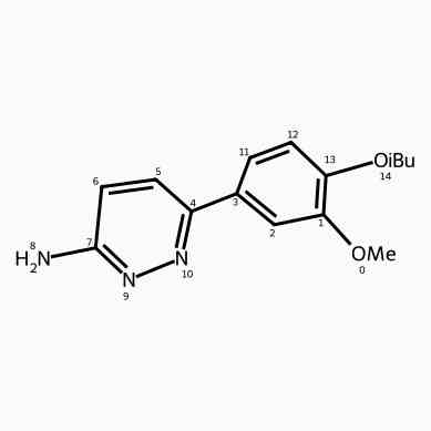 COc1cc(-c2ccc(N)nn2)ccc1OCC(C)C